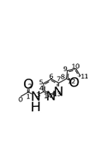 CC(=O)Nc1ccc(-c2ccco2)nn1